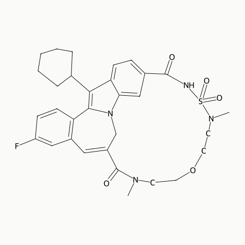 CN1CCOCCN(C)S(=O)(=O)NC(=O)c2ccc3c(C4CCCCC4)c4n(c3c2)CC(=Cc2cc(F)ccc2-4)C1=O